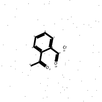 CC(=O)c1ccccc1C=O.[Cr]